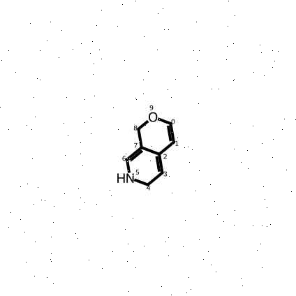 C1=CC2=CCNC=C2CO1